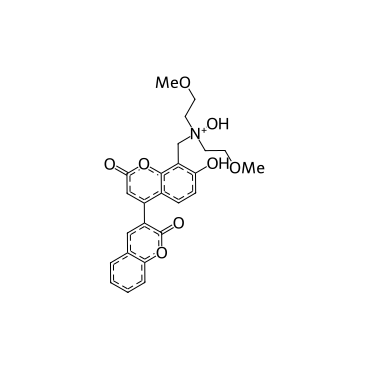 COCC[N+](O)(CCOC)Cc1c(O)ccc2c(-c3cc4ccccc4oc3=O)cc(=O)oc12